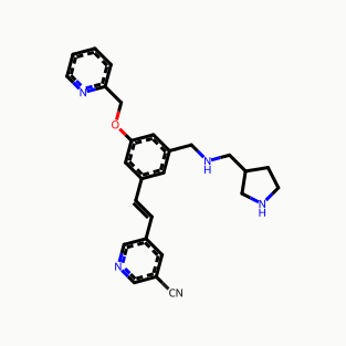 N#Cc1cncc(/C=C/c2cc(CNCC3CCNC3)cc(OCc3ccccn3)c2)c1